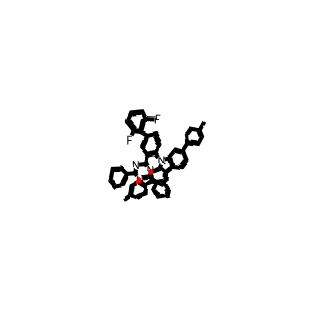 Cc1ccc(-c2ccc3c4ccc(-c5ccc(C)cc5)cc4n(-c4ccc(-c5c(F)cccc5F)cc4-c4nc(-c5ccccc5)nc(-c5ccccc5)n4)c3c2)cc1